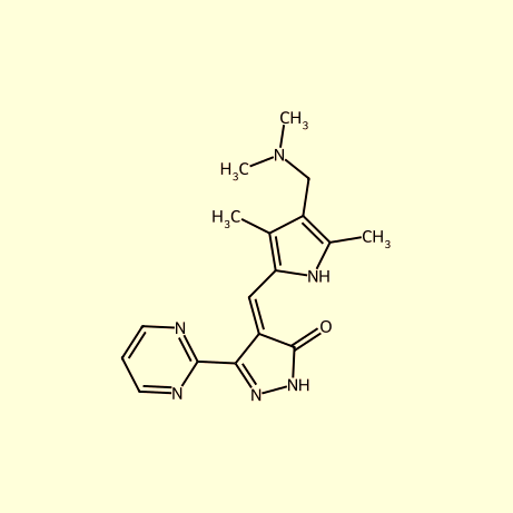 Cc1[nH]c(C=C2C(=O)NN=C2c2ncccn2)c(C)c1CN(C)C